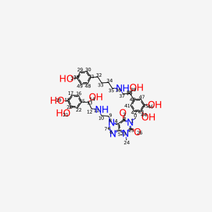 Cn1c(=O)c2c(ncn2CCNCC(O)c2ccc(O)c(O)c2)n(C)c1=O.Oc1ccc(CCCCNC[C@H](O)c2ccc(O)c(O)c2)cc1